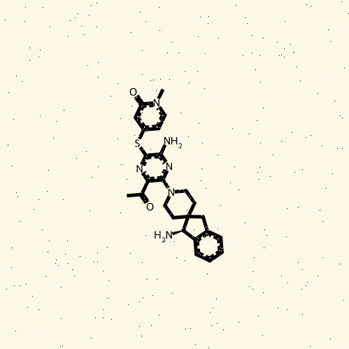 CC(=O)c1nc(Sc2ccn(C)c(=O)c2)c(N)nc1N1CCC2(CC1)Cc1ccccc1[C@H]2N